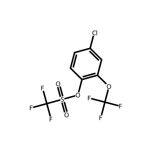 O=S(=O)(Oc1ccc(Cl)cc1OC(F)(F)F)C(F)(F)F